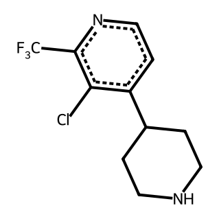 FC(F)(F)c1nccc(C2CCNCC2)c1Cl